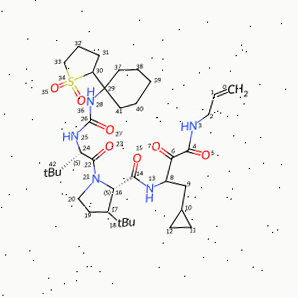 C=CCNC(=O)C(=O)C(CC1CC1)NC(=O)[C@@H]1C(C(C)(C)C)CCN1C(=O)[C@@H](NC(=O)NC1(C2CCCS2(=O)=O)CCCCC1)C(C)(C)C